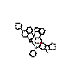 c1ccc(-c2ccc3c4c(cccc24)C2(c4ccccc4-c4cccc5cccc2c45)c2cc(N(c4ccccc4)c4ccc5c(c4)oc4ccccc45)ccc2-3)cc1